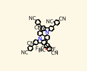 N#Cc1ccc(-c2ccc3c(c2)c2cc(-c4ccc(C#N)cc4C#N)ccc2n3-c2ccc(C#N)cc2-c2cc(-c3cc(C(F)(F)F)cc(C(F)(F)F)c3)ccc2-n2c3ccc(-c4ccc(C#N)cc4C#N)cc3c3cc(-c4ccc(C#N)cc4C#N)ccc32)c(C#N)c1